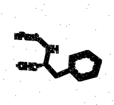 CCCCCN[C@@H]([C]=O)Cc1ccccc1